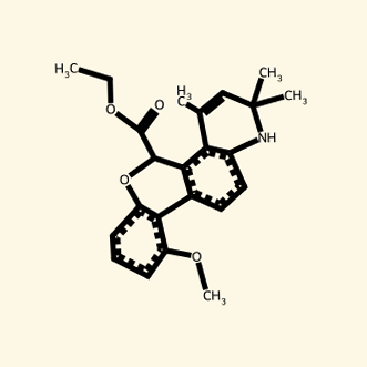 CCOC(=O)C1Oc2cccc(OC)c2-c2ccc3c(c21)C(C)=CC(C)(C)N3